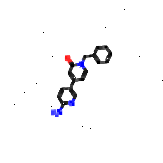 Nc1ccc(-c2ccn(Cc3ccccc3)c(=O)c2)cn1